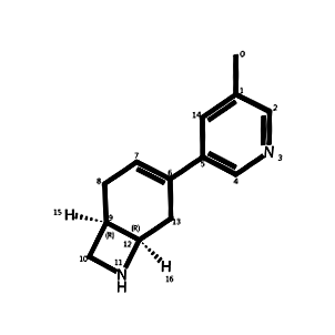 Cc1cncc(C2=CC[C@@H]3CN[C@@H]3C2)c1